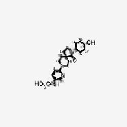 O=C(O)Nc1ccc(N2CCC3(CC2)CCN([C@H]2CC[C@@H](O)CC2)C3=O)nc1